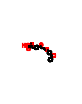 CO[C@@H](Cc1ccc(C(=O)CCCOc2ccc(C(=O)c3ccccc3)cc2)cc1)C(=O)O